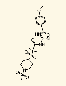 COc1ccc(-c2nnc(NC(=O)C(C)(C)S(=O)(=O)C3CCN(S(C)(=O)=O)CC3)[nH]2)cc1